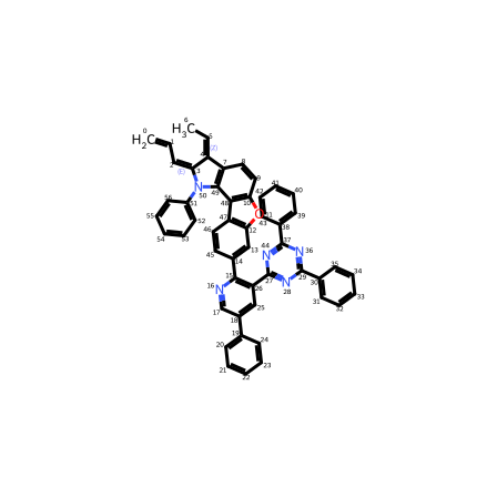 C=C/C=c1\c(=C/C)c2ccc3oc4cc(-c5ncc(-c6ccccc6)cc5-c5nc(-c6ccccc6)nc(-c6ccccc6)n5)ccc4c3c2n1-c1ccccc1